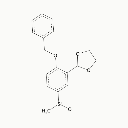 C[S+]([O-])c1ccc(OCc2ccccc2)c(C2OCCO2)c1